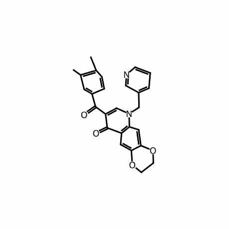 Cc1ccc(C(=O)c2cn(Cc3cccnc3)c3cc4c(cc3c2=O)OCCO4)cc1C